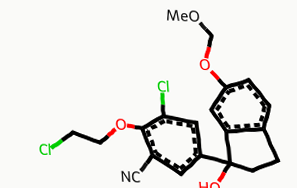 COCOc1ccc2c(c1)C(O)(c1cc(Cl)c(OCCCl)c(C#N)c1)CC2